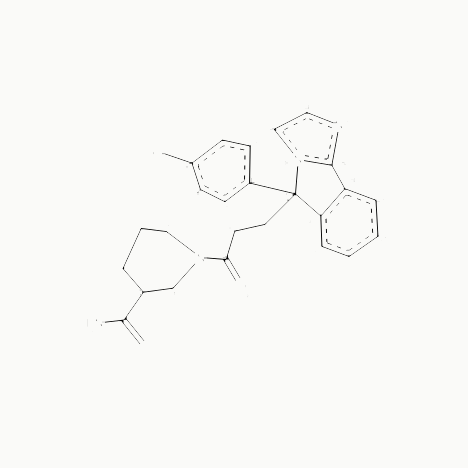 NC(=O)C1CCCN(C(=O)CCC2(c3ccc(Cl)cc3)c3ccccc3-c3nccn32)C1